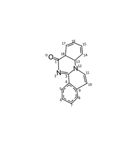 O=C1N=C2c3ccccc3C=CN2C2C=CC=CC12